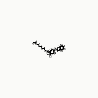 CCCCCCCCCCOC1(C)C=CC(N=Cc2ccccc2)=CC1